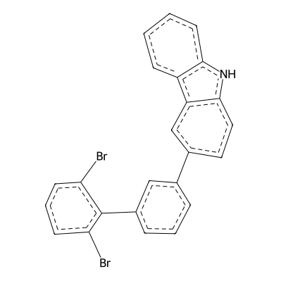 Brc1cccc(Br)c1-c1cccc(-c2ccc3[nH]c4ccccc4c3c2)c1